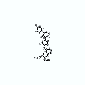 COc1cc2nccc(Oc3ccc(-c4cncn(-c5ccc(C)cc5)c4=O)cc3F)c2cc1OC